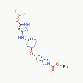 CC(C)(C)OC(=O)N1CC2(CC(Oc3cncc(Nc4cc(OC(F)F)[nH]n4)n3)C2)C1